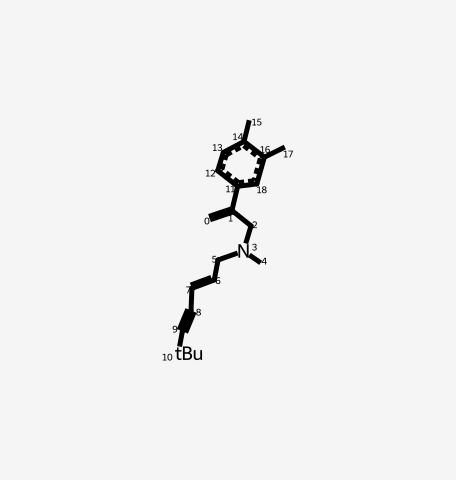 C=C(CN(C)CC=CC#CC(C)(C)C)c1ccc(C)c(C)c1